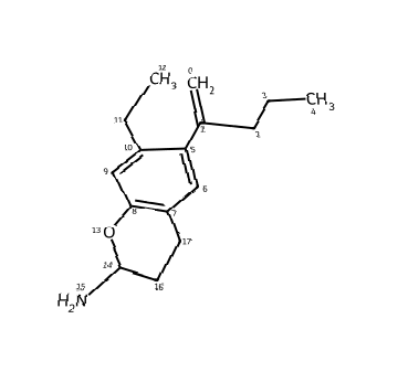 C=C(CCC)c1cc2c(cc1CC)OC(N)CC2